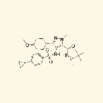 COC1CCC(c2nn(C)c(C(=O)N[C@@H](C)C(C)(C)C)c2NS(=O)(=O)c2ccc(C3CC3)cc2)CC1